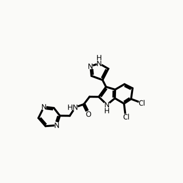 O=C(Cc1[nH]c2c(Cl)c(Cl)ccc2c1-c1cn[nH]c1)NCc1cnccn1